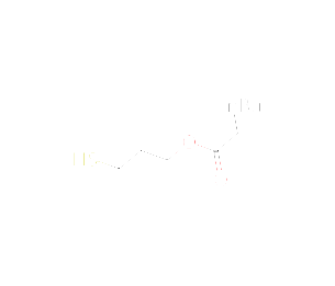 CCCCCC(=O)OCCCS